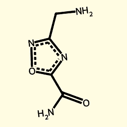 NCc1noc(C(N)=O)n1